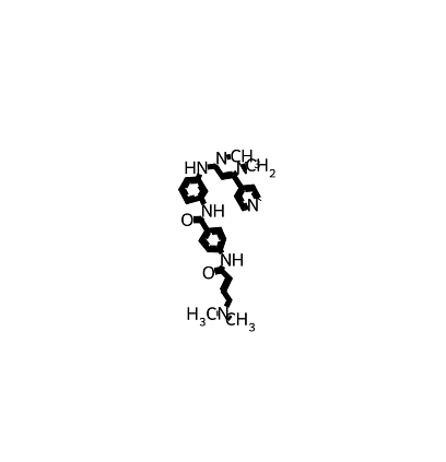 C=N/C(=C\C(=N/C)Nc1cccc(NC(=O)c2ccc(NC(=O)/C=C/CN(C)C)cc2)c1)c1ccncc1